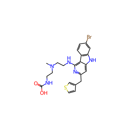 CN(CCNC(=O)O)CCNc1nc(Cc2ccsc2)cc2[nH]c3cc(Br)ccc3c12